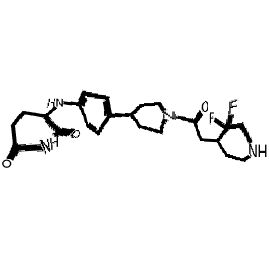 O=C1CCC(Nc2ccc(C3CCN(C(=O)CC4CCNCC4(F)F)CC3)cc2)C(=O)N1